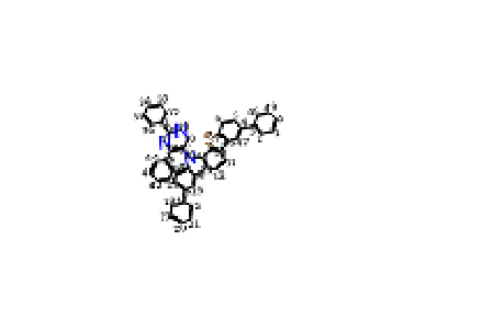 c1ccc(-c2ccc3sc4c(ccc5c6cc(-c7ccccc7)ccc6n(-c6cnc(-c7ccccc7)nc6-c6ccccc6)c54)c3c2)cc1